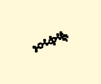 CC(C)(C)OC(=O)N1C[C@H]2C[C@H](OC(=O)c3ccc([N+](=O)[O-])cc3)C[C@H]2C1